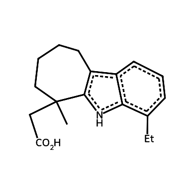 CCc1cccc2c3c([nH]c12)C(C)(CC(=O)O)CCCC3